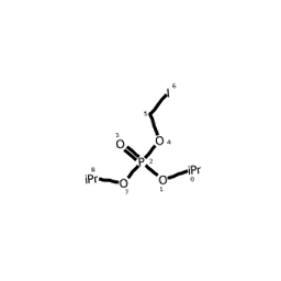 CC(C)OP(=O)(OCI)OC(C)C